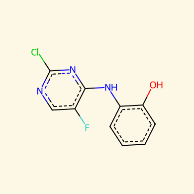 Oc1ccccc1Nc1nc(Cl)ncc1F